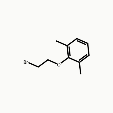 Cc1cccc(C)c1OCCBr